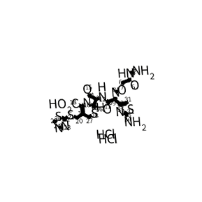 Cl.Cl.NNC(=O)CON=C(C(=O)NC1C(=O)N2C(C(=O)O)=C(CSc3nncs3)CS[C@@H]12)c1csc(N)n1